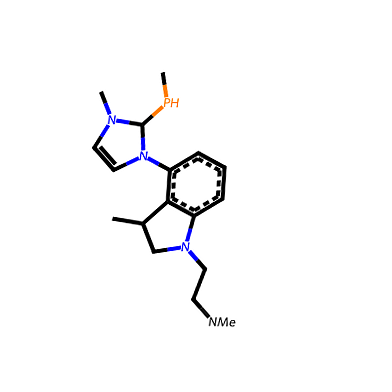 CNCCN1CC(C)c2c1cccc2N1C=CN(C)C1PC